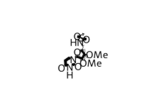 CO[C@@H]1[C@H](OC)[C@@H](CNS(C)(=O)=O)O[C@H]1n1ccc(=O)[nH]c1=O